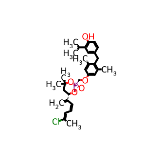 C=C(/C=C\C=C(/C)Cl)[C@@H]1CC(C)(C)O[P@@](=O)(COc2cc(C)c(Cc3ccc(O)c(C(C)C)c3)c(C)c2)O1